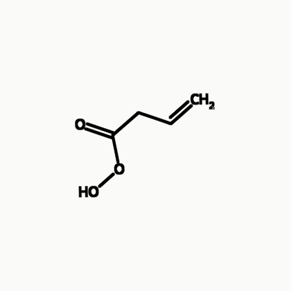 C=CCC(=O)OO